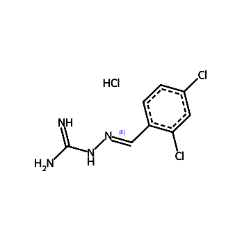 Cl.N=C(N)N/N=C/c1ccc(Cl)cc1Cl